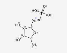 BC1OC(/C=C/P(=O)(O)O)C(O)C1O